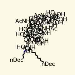 CCCCCCCCCCCCC/C=C/[C@@H](O)[C@H](CO[C@@H]1OC(CO)[C@@H](O[C@@H]2OC(CO)[C@H](O)[C@H](O[C@@H]3OC(CO)[C@@H](O[C@@H]4OC(CO[C@@H]5OC(CO)[C@@H](O[C@@H]6OC(CO)[C@H](O)[C@H](O)C6O)[C@H](O)C5NC(C)=O)[C@H](O)[C@H](O[C@@H]5OC(CO)[C@@H](O[C@@H]6OC(CO)[C@H](O)[C@H](O)C6O)[C@H](O)C5NC(C)=O)C4O)[C@H](O)C3NC(C)=O)C2O)[C@H](O)C1O)NC(=O)CCCCCCCCCCCCCCCCCCC